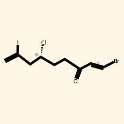 C=C(I)C[C@H](Cl)CCC(=O)/C=C/Br